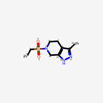 CC(C)CS(=O)(=O)N1CCc2c(C(C)C)n[nH]c2C1